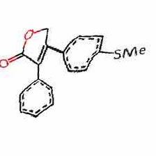 CSc1ccc(C2=C(c3ccccc3)C(=O)OC2)cc1